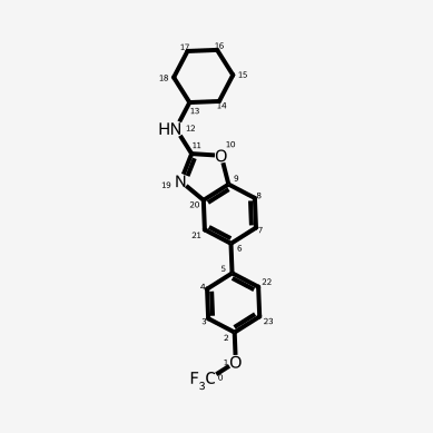 FC(F)(F)Oc1ccc(-c2ccc3oc(NC4CCCCC4)nc3c2)cc1